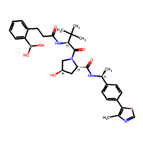 Cc1ncsc1-c1ccc([C@H](C)NC(=O)[C@@H]2C[C@@H](O)CN2C(=O)[C@@H](NC(=O)CCc2ccccc2B(O)O)C(C)(C)C)cc1